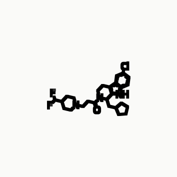 O=C(CCN1CCC(C(F)F)CC1)N1CCc2c([nH]c3ccc(Cl)cc23)C1CC1CCCC1